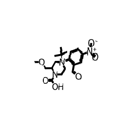 COCC1C[N@@+](c2ccc([N+](=O)[O-])cc2C=O)(C(C)(C)C)CCN1C(=O)O